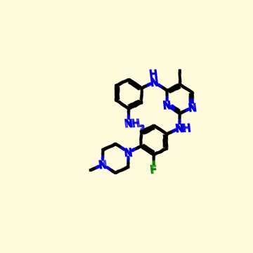 Cc1cnc(Nc2ccc(N3CCN(C)CC3)c(F)c2)nc1Nc1cccc(N)c1